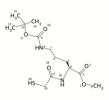 COC(=O)[C@H](CCCNC(=O)OC(C)(C)C)NC(=O)CS